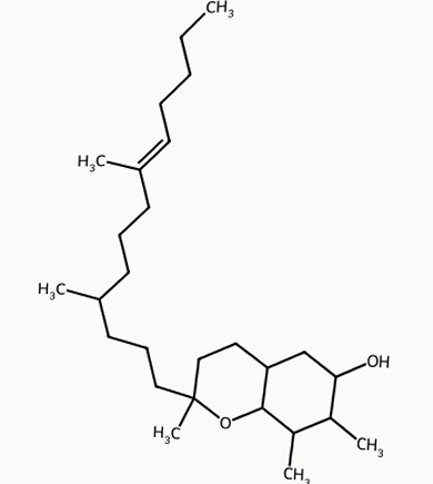 CCCC/C=C(\C)CCCC(C)CCCC1(C)CCC2CC(O)C(C)C(C)C2O1